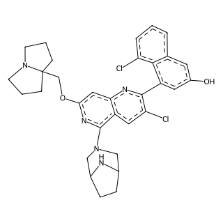 Oc1cc(-c2nc3cc(OCC45CCCN4CCC5)nc(N4CC5CCC(C4)N5)c3cc2Cl)c2c(Cl)cccc2c1